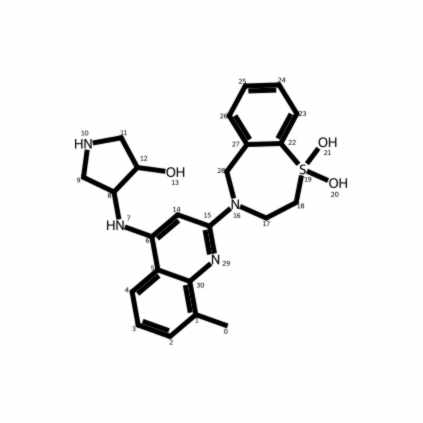 Cc1cccc2c(NC3CNCC3O)cc(N3CCS(O)(O)c4ccccc4C3)nc12